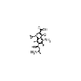 Cc1c(C(=N)CC(C)N)c(F)c(N)c2c(=O)c(C(=O)O)cn(C3CC3)c12